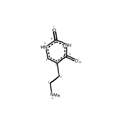 CNCCc1c[nH]c(=O)[nH]c1=O